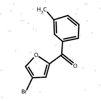 Cc1cccc(C(=O)c2cc(Br)co2)c1